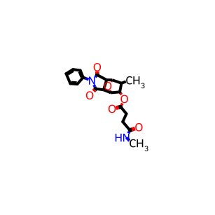 CNC(=O)CCC(=O)OC1C(C)C2OC1C1C(=O)N(c3ccccc3)C(=O)C21